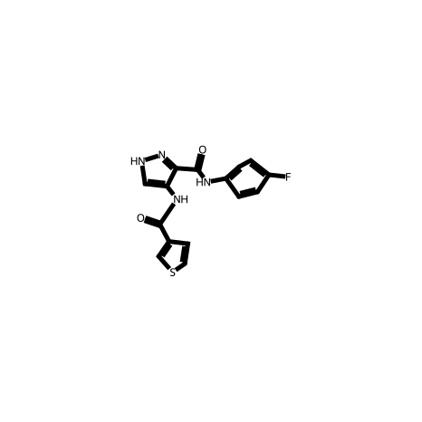 O=C(Nc1c[nH]nc1C(=O)Nc1ccc(F)cc1)c1ccsc1